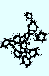 C1=CCCC(C2=CC3c4cc(-c5ccc6c7ccccc7n(-c7cccc(C8(c9ccccc9)c9ccccc9C9C=CC=CC98)c7)c6c5)ccc4N(c4ccccc4)C3C=C2)=C1